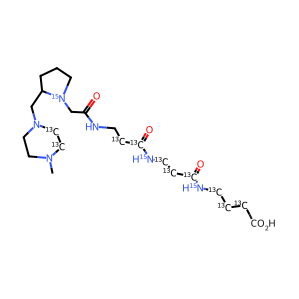 CN1CCN(CC2CCC[15N]2CC(=O)NC[13CH2][13C](=O)[15NH][13CH2][13CH2][13C](=O)[15NH][13CH2][13CH2][13CH2][13C](=O)O)[13CH2][13CH2]1